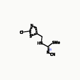 CS/C(=N\C#N)NCc1cnc(Cl)s1